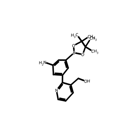 CC1(C)OB(c2cc(N)cc(-c3ncccc3CO)c2)OC1(C)C